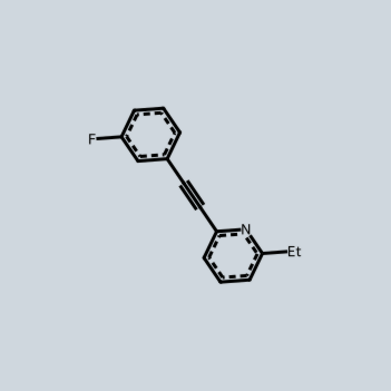 CCc1cccc(C#Cc2cccc(F)c2)n1